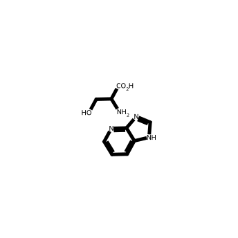 NC(CO)C(=O)O.c1cnc2nc[nH]c2c1